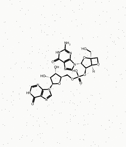 Nc1nc2c(ncn2[C@@H]2O[C@@]3(CO)CO[C@H]3[C@H]2OP(=O)(O)OC[C@H]2O[C@@H](n3cnc4c(=O)[nH]cnc43)[C@H](O)[C@@H]2O)c(=O)[nH]1